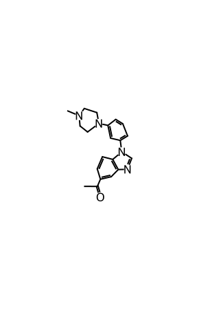 CC(=O)c1ccc2c(c1)ncn2-c1cccc(N2CCN(C)CC2)c1